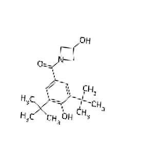 CC(C)(C)c1cc(C(=O)N2CC(O)C2)cc(C(C)(C)C)c1O